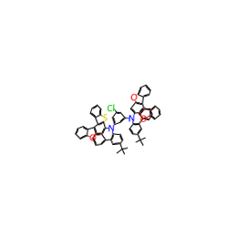 CC(C)(C)c1ccc(N(c2cc(Cl)cc(N(c3ccc(C(C)(C)C)cc3-c3ccccc3)c3cc4oc5ccccc5c4c4c3sc3ccccc34)c2)c2cc3oc4ccccc4c3c3c2oc2ccccc23)c(-c2ccccc2)c1